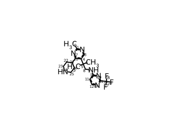 Cc1ncc(C(C)(C)CNc2ccnc(C(F)(F)F)n2)c(C2CCNCC2)n1